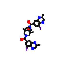 Cc1cnc2c(I)cc(C(=O)N3CC4(C)CN(C(=O)c5cc(I)c6ncc(C)nc6c5)CC(C)(C3)C4=O)cc2n1